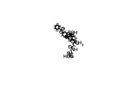 C[C@H](CCC(=O)NCCS(=O)(=O)O)[C@H]1CC[C@H]2[C@@H]3[C@@H](O)CC4C[C@H](OC(=O)c5ccccc5)CC[C@]4(C)[C@H]3CC[C@]12C